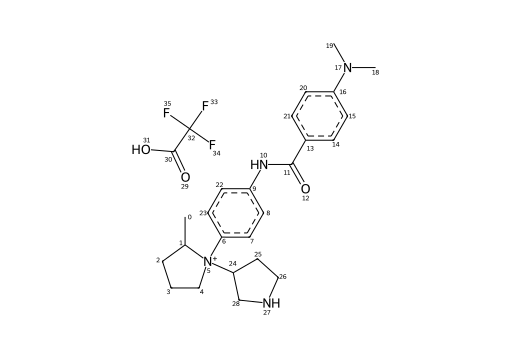 CC1CCC[N+]1(c1ccc(NC(=O)c2ccc(N(C)C)cc2)cc1)C1CCNC1.O=C(O)C(F)(F)F